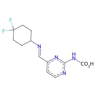 O=C(O)Nc1nccc(C=NC2CCC(F)(F)CC2)n1